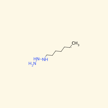 C[CH]CCCCCNNN